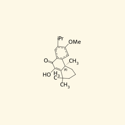 COc1cc2c(cc1C(C)C)C(=O)C(O)=C1C(C)(C)CCC[C@@]12C